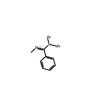 C/N=C(\c1ccccc1)N(C(C)C)C(C)C